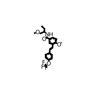 CCC(COC)NC(=O)c1ccc(OC)c(C=Cc2ccc(OC(F)(F)F)cc2)c1